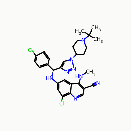 CNc1c(C#N)cnc2c(Cl)cc(N[C@@H](c3ccc(Cl)cc3)c3cn(C4CCN(C(C)(C)C)CC4)nn3)cc12